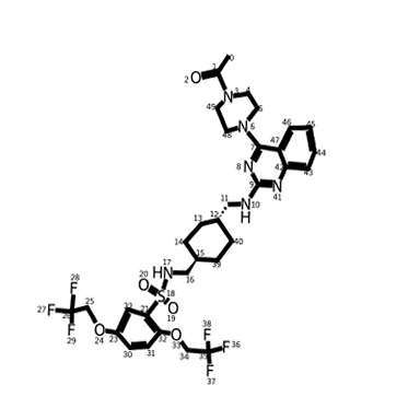 CC(=O)N1CCN(c2nc(NC[C@H]3CC[C@H](CNS(=O)(=O)c4cc(OCC(F)(F)F)ccc4OCC(F)(F)F)CC3)nc3ccccc23)CC1